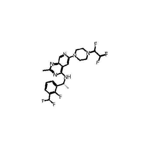 Cc1nc(N[C@H](C)c2cccc(C(F)F)c2F)c2cc(N3CCN(C(F)C(F)F)CC3)ncc2n1